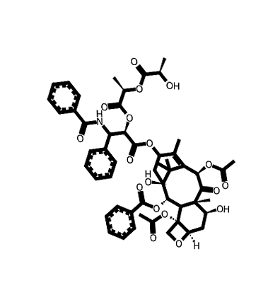 CC(=O)O[C@H]1C(=O)[C@@]2(C)C([C@H](OC(=O)c3ccccc3)[C@]3(O)CC(OC(=O)[C@H](OC(=O)[C@@H](C)OC(=O)[C@@H](C)O)C(NC(=O)c4ccccc4)c4ccccc4)C(C)=C1C3(C)C)[C@]1(OC(C)=O)CO[C@@H]1C[C@@H]2O